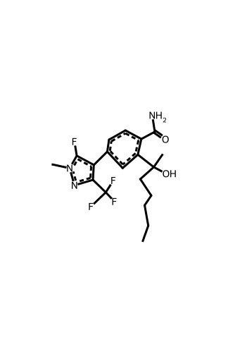 CCCCCC(C)(O)c1cc(-c2c(C(F)(F)F)nn(C)c2F)ccc1C(N)=O